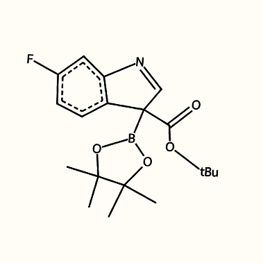 CC(C)(C)OC(=O)C1(B2OC(C)(C)C(C)(C)O2)C=Nc2cc(F)ccc21